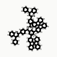 CC1C=CC2=C(C1)C1(c3ccccc32)c2ccccc2-c2ccc(-c3cc(-c4ccc5c(c4)C4(c6ccccc6-c6ccccc64)c4ccccc4-5)c4nc(-c5ccc(-c6cc(-c7ccccc7)c7ccccc7n6)cc5)nc(-c5ccc(-c6cc(-c7ccccc7)c7ccccc7n6)cc5)c4c3)cc21